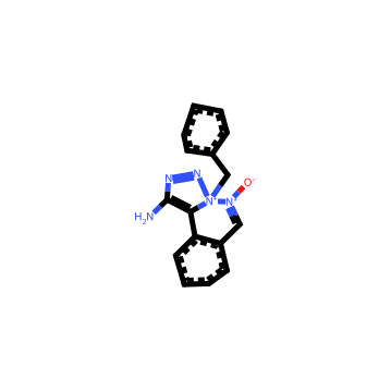 NC1=C2c3ccccc3C=[N+]([O-])[N+]2(Cc2ccccc2)N=N1